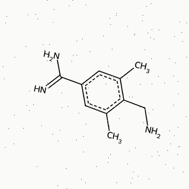 Cc1cc(C(=N)N)cc(C)c1CN